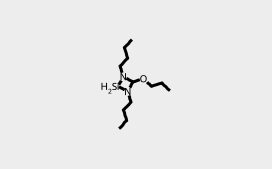 CCCCN1[SiH2]N(CCCC)C1OCCC